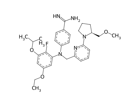 CCOc1cc(OC(C)C)c(F)c(N(Cc2cccc(N3CCC[C@H]3COC)n2)c2ccc(C(=N)N)cc2)c1